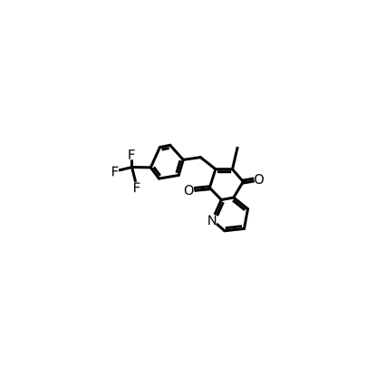 CC1=C(Cc2ccc(C(F)(F)F)cc2)C(=O)c2ncccc2C1=O